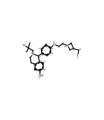 CC(C)(F)CN1CCc2cc(O)ccc2C1c1ccc(OCCN2CC(CF)C2)cc1